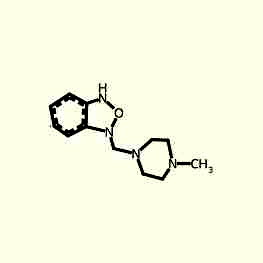 CN1CCN(CN2ONc3cc[c]cc32)CC1